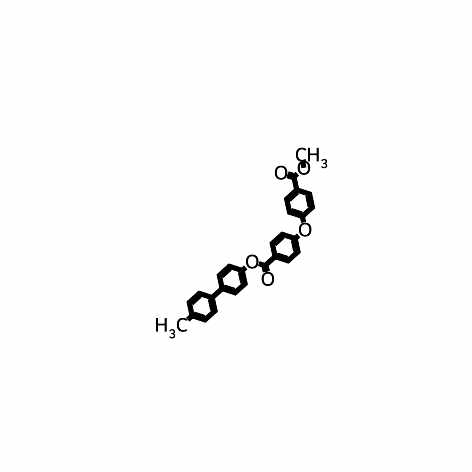 COC(=O)c1ccc(Oc2ccc(C(=O)Oc3ccc(-c4ccc(C)cc4)cc3)cc2)cc1